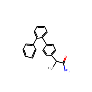 CC(C(N)=O)c1ccc(-c2ccccc2-c2ccccc2)cc1